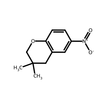 CC1(C)COc2ccc([N+](=O)[O-])cc2C1